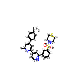 Cc1cc(-c2ccc(C(F)(F)F)cc2)cc(-c2ccnc(-c3cccc(S(=O)(=O)N4CCSCC4)c3)c2)n1